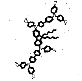 CCCCCCC1(CCCCCC)c2cc(N(c3ccc(OC)cc3)c3ccc(-c4ccc(N(c5ccc(OC)cc5)c5ccc(OC)cc5)cc4)cc3)ccc2-c2ccc(N(c3ccc(SC)cc3)c3ccc(-c4ccc(N(c5ccc(OC)cc5)c5ccc(OC)cc5)cc4)cc3)cc21